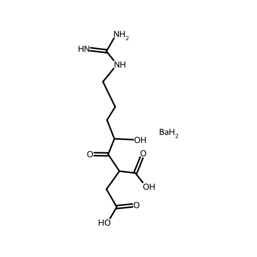 N=C(N)NCCCC(O)C(=O)C(CC(=O)O)C(=O)O.[BaH2]